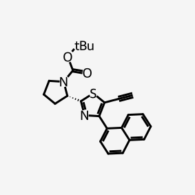 C#Cc1sc([C@@H]2CCCN2C(=O)OC(C)(C)C)nc1-c1cccc2ccccc12